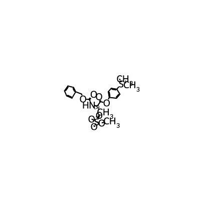 COS(=O)(=O)[O-].C[C@H](NC(=O)OCc1ccccc1)C(=O)Oc1ccc([S+](C)C)cc1